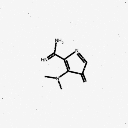 C=C1C=NC(C(=N)N)=C1N(C)C